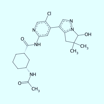 CC(=O)N[C@@H]1CCC[C@H](C(=O)Nc2cc(-c3cnn4c3CC(C)(C)C4O)c(Cl)cn2)C1